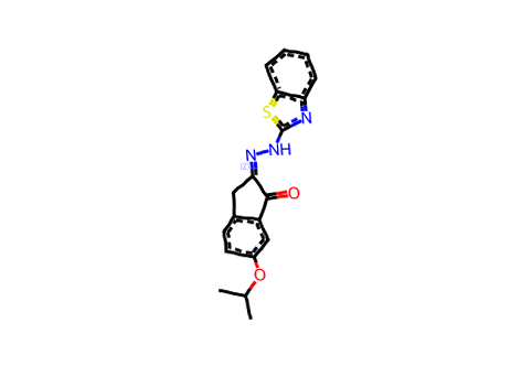 CC(C)Oc1ccc2c(c1)C(=O)/C(=N\Nc1nc3ccccc3s1)C2